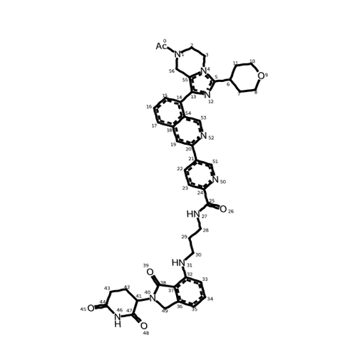 CC(=O)N1CCn2c(C3CCOCC3)nc(-c3cccc4cc(-c5ccc(C(=O)NCCCNc6cccc7c6C(=O)N(C6CCC(=O)NC6=O)C7)nc5)ncc34)c2C1